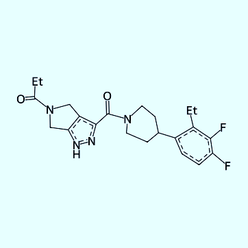 CCC(=O)N1Cc2[nH]nc(C(=O)N3CCC(c4ccc(F)c(F)c4CC)CC3)c2C1